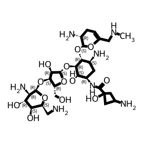 CNCC1=CC[C@@H](N)[C@@H](O[C@H]2[C@H](O[C@@H]3O[C@H](CO)[C@@H](O[C@H]4O[C@@H](CN)[C@@H](O)[C@H](O)[C@H]4N)[C@H]3O)[C@@H](O)[C@H](NC(=O)C3(O)CC(N)C3)C[C@@H]2N)O1